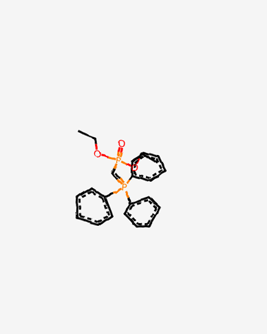 CCOP(=O)(C=P(c1ccccc1)(c1ccccc1)c1ccccc1)OCC